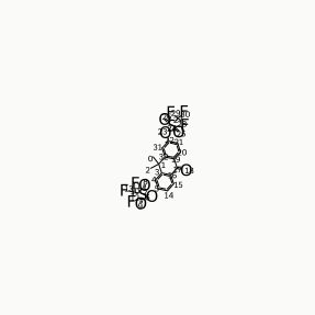 CC1(C)c2cc(OS(=O)(=O)C(F)(F)F)ccc2C(=O)c2ccc(OS(=O)(=O)C(F)(F)F)cc21